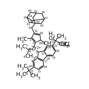 CC1=[C]([Zr+2](=[C](C)C)[CH]2c3cc(C(C)(C)C)ccc3-c3ccc(C(C)(C)C)cc32)C(C)C=C1CC12CC3CC(CC(C3)C1)C2.[Cl-].[Cl-]